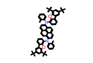 Cc1ccccc1N(c1ccc2ccc3c(N(c4ccccc4C)c4cccc5c4oc4c(C(C)(C)C)cc(C(C)(C)C)cc45)ccc4ccc1c2c43)c1cccc2c1oc1c(C(C)(C)C)cc(C(C)(C)C)cc12